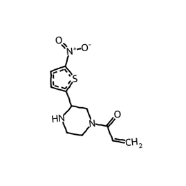 C=CC(=O)N1CCNC(c2ccc([N+](=O)[O-])s2)C1